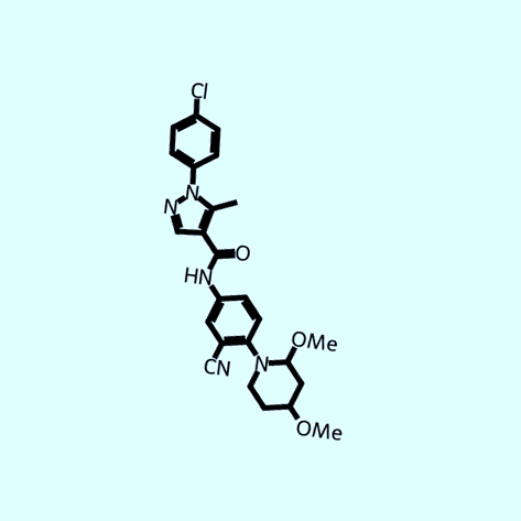 COC1CCN(c2ccc(NC(=O)c3cnn(-c4ccc(Cl)cc4)c3C)cc2C#N)C(OC)C1